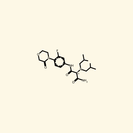 CC(C)CN(CC(C)C)[C@@H](C(N)=O)C(=O)Nc1ccc(N2CCOCC2=O)c(F)c1